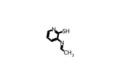 C/C=N/c1cccnc1S